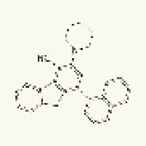 N#Cc1c(N2CCCCC2)cc(-c2cccc3ccccc23)c2c1-c1ccccc1C2